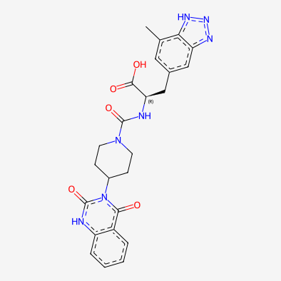 Cc1cc(C[C@@H](NC(=O)N2CCC(n3c(=O)[nH]c4ccccc4c3=O)CC2)C(=O)O)cc2nn[nH]c12